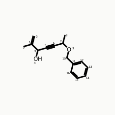 C=C(C)C(O)C#CC(C)OCc1ccccc1